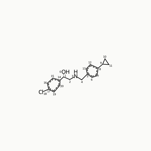 O[C@H](CNCc1ccc(C2CC2)cc1)c1ccc(Cl)cc1